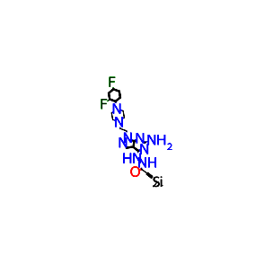 C[Si](C)(C)C#CC(=O)NNc1nc(N)nc2c1cnn2CCN1CCN(c2ccc(F)cc2F)CC1